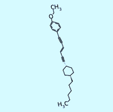 CCCCCC[C@H]1CC[C@H](C#C/C=C/C#Cc2ccc(OCC)cc2)CC1